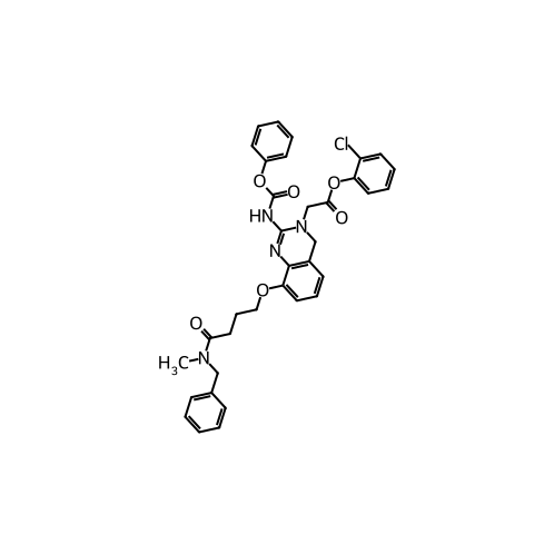 CN(Cc1ccccc1)C(=O)CCCOc1cccc2c1N=C(NC(=O)Oc1ccccc1)N(CC(=O)Oc1ccccc1Cl)C2